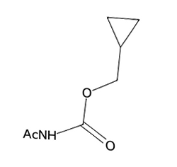 CC(=O)NC(=O)OCC1CC1